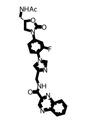 CC(=O)NC[C@H]1CN(c2ccc(-n3cnc(CNC(=O)c4cnc5ccccc5n4)c3)c(F)c2)C(=O)O1